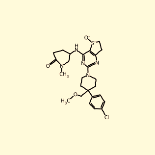 COCC1(c2ccc(Cl)cc2)CCN(c2nc3c(c(NC4CCC(=O)N(C)C4)n2)[S+]([O-])CC3)CC1